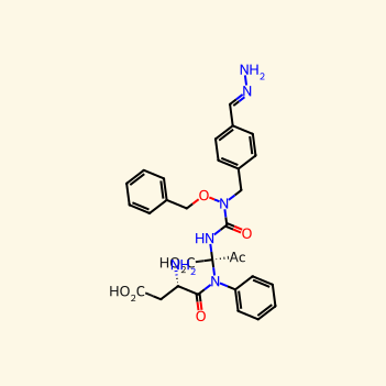 CC(=O)[C@@](NC(=O)N(Cc1ccc(C=NN)cc1)OCc1ccccc1)(C(=O)O)N(C(=O)[C@@H](N)CC(=O)O)c1ccccc1